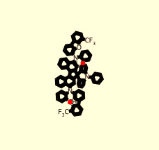 Cc1ccccc1N(c1cc2c(c3ccccc13)-c1c(cc(N(c3ccccc3C)c3cccc4c3oc3c(C(F)(F)F)cccc34)c3ccccc13)C21c2ccccc2N(c2ccccc2)c2ccccc21)c1cccc2c1oc1c(C(F)(F)F)cccc12